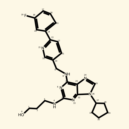 OCCCNc1nc(NCc2ccc(-c3cccc(F)c3)nc2)c2ncn(C3CCCC3)c2n1